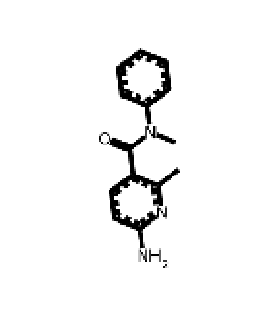 Cc1nc(N)ccc1C(=O)N(C)c1ccccc1